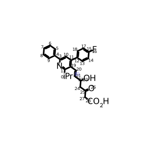 CC(C)c1nc(-c2ccccc2)cc(-c2ccc(F)cc2)c1/C=C/C(O)CC(=O)CC(=O)O